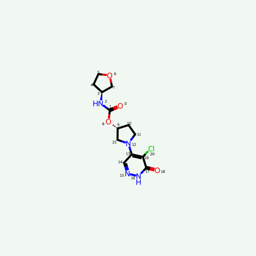 O=C(N[C@H]1CCOC1)O[C@@H]1CCN(c2cn[nH]c(=O)c2Cl)C1